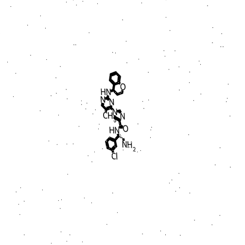 Cc1cnc(NC2CCOc3ccccc32)nc1-n1cnc(C(=O)N[C@H](CN)c2cccc(Cl)c2)c1